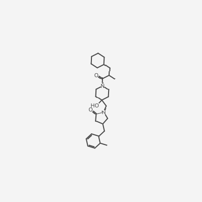 CC(CC1CCCCC1)C(=O)N1CCC(O)(CN2CC(CC3C=CC=CC3C)CC2=O)CC1